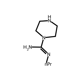 CCCN=C(N)N1CCNCC1